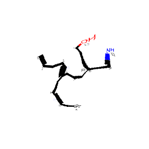 C=C/C=C(\C=C/C(C)C)C[C@H](C=N)CO